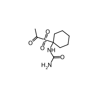 CC(=O)S(=O)(=O)C1(NC(N)=O)CCCCC1